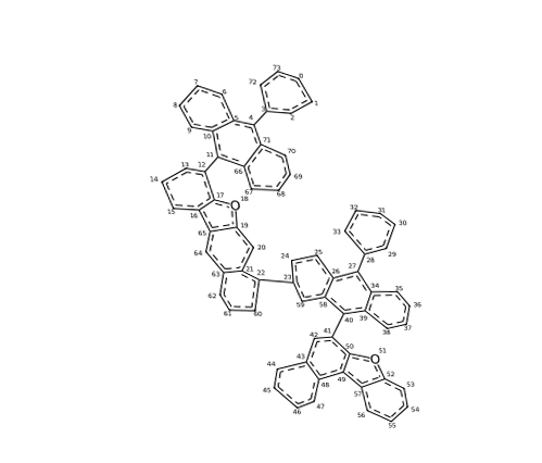 c1ccc(-c2c3ccccc3c(-c3cccc4c3oc3cc5c(-c6ccc7c(-c8ccccc8)c8ccccc8c(-c8cc9ccccc9c9c8oc8ccccc89)c7c6)cccc5cc34)c3ccccc23)cc1